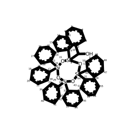 OC(c1ccccc1)[Si]1(c2ccccc2)O[Si](c2ccccc2)(c2ccccc2)O[Si](c2ccccc2)(c2ccccc2)O[Si](c2ccccc2)(c2ccccc2)O1